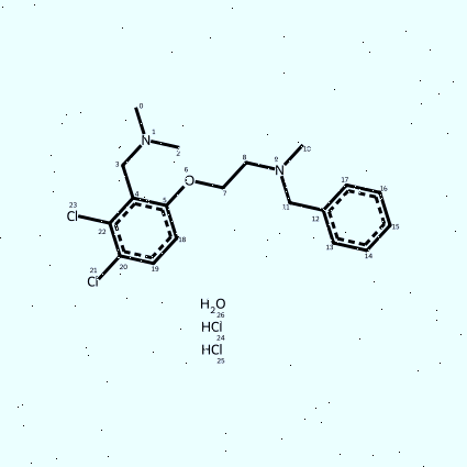 CN(C)Cc1c(OCCN(C)Cc2ccccc2)ccc(Cl)c1Cl.Cl.Cl.O